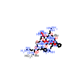 CC[C@H](C)[C@H](NC(=O)[C@H](CCCNC(=N)N)NC(=O)[C@H](Cc1c[nH]c2ccccc12)NC(=O)[C@H](CC(C)C)NC(=O)[C@H](CCCNC(=N)N)NC(=O)[C@H](CCCNC(=N)N)NC(=O)[C@H](CCSC)NC(=O)[C@H](CCCNC(=N)N)NC(=O)[C@H](CCCNC(=N)N)NC(=O)[C@@H](NC(=O)[C@H](Cc1c[nH]c2ccccc12)NC(=O)[C@@H](N)CCCNC(=N)N)[C@@H](C)CC)C(=O)O